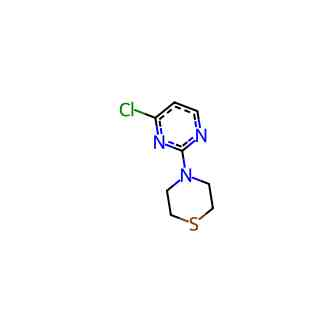 Clc1ccnc(N2CCSCC2)n1